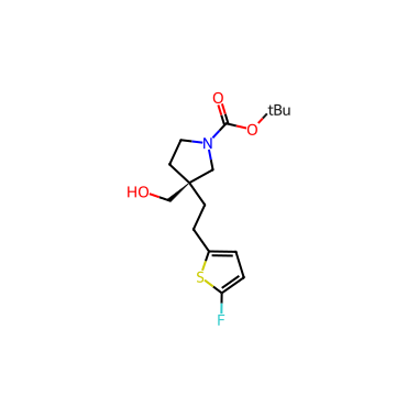 CC(C)(C)OC(=O)N1CC[C@@](CO)(CCc2ccc(F)s2)C1